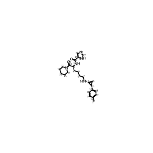 O=C(N[C@@H](CCCCN[C@@H]1C[C@H]1c1ccc(F)cc1)C(=O)N1CCCCC1)c1cnc[nH]1